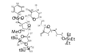 C=C1C[C@H](CCCO[Si](CC)(CC)CC)O[C@H]1CC[C@H]1C[C@@H](C)C(=C)[C@@H](C[C@@H]2O[C@H](CC(CO[Si](C)(C)C(C)(C)C)O[Si](C)(C)C(C)(C)C)[C@H](OC)[C@H]2CS(=O)(=O)c2ccccc2)O1